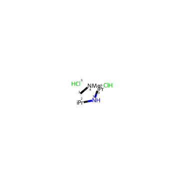 CC(C)NC(C)C.CNC.Cl.Cl